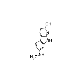 CNc1ccc2c(c1)[nH]c1nc(O)ccc12